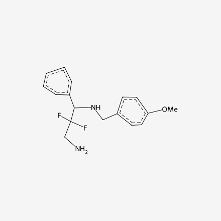 COc1ccc(CNC(c2ccccc2)C(F)(F)CN)cc1